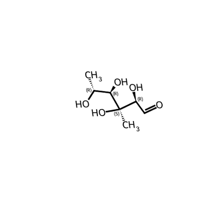 C[C@@H](O)[C@@H](O)[C@](C)(O)[C@@H](O)C=O